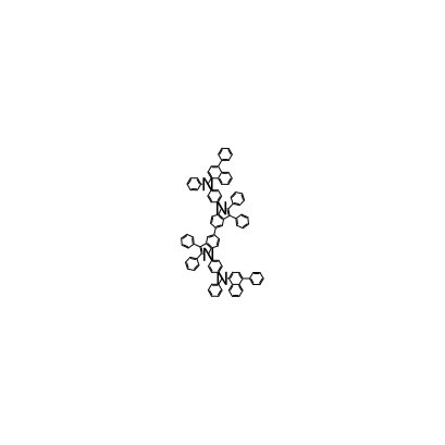 c1ccc(-c2ccc(N(c3ccccc3)c3ccc(-n4c(-c5ccccc5)c(-c5ccccc5)c5cc(-c6ccc7c(c6)c(-c6ccccc6)c(-c6ccccc6)n7-c6ccc(N(c7ccccc7)c7ccc(-c8ccccc8)c8ccccc78)cc6)ccc54)cc3)c3ccccc23)cc1